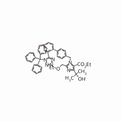 CCOCc1nc(C(C)(C)O)c(C(=O)OCC)n1Cc1ccc(-c2ccccc2-c2nnnn2C(c2ccccc2)(c2ccccc2)c2ccccc2)cc1